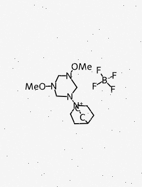 CON1CN(OC)CN([N+]23CCC(CC2)CC3)C1.F[B-](F)(F)F